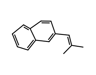 CC(C)=Cc1ccc2ccccc2c1